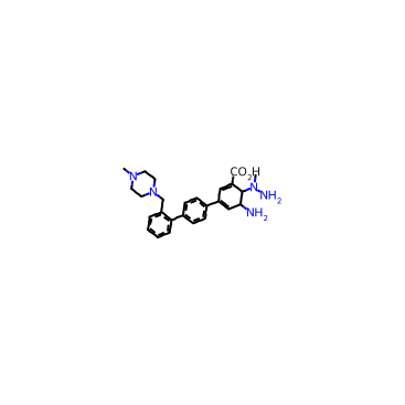 CN1CCN(Cc2ccccc2-c2ccc(C3=CC(N)C(N(C)N)C(C(=O)O)=C3)cc2)CC1